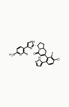 Nc1ccc(-c2c[nH]c([C@@H]3CCC4CC(c5c(-c6ccn[nH]6)ccc(Cl)c5F)=CC(=O)N43)n2)c(F)n1